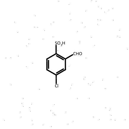 O=Cc1cc(Cl)ccc1S(=O)(=O)O